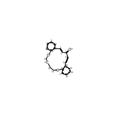 O=C1/C=C/c2ccccc2OCCCCOc2ccccc2/C=C/1